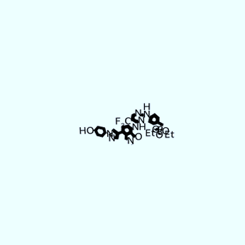 CCOP(=O)(Cc1ccc(Nc2ncc(C(F)(F)F)c(Nc3ccc(-c4cnn([C@H]5CC[C@H](O)CC5)c4)c4c3C(=O)N(C)C4)n2)cc1)OCC